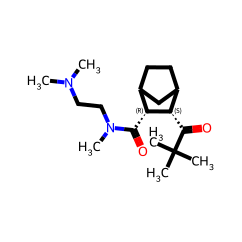 CN(C)CCN(C)C(=O)[C@@H]1C2CCC(C2)[C@@H]1C(=O)C(C)(C)C